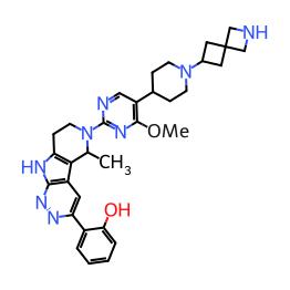 COc1nc(N2CCc3[nH]c4nnc(-c5ccccc5O)cc4c3C2C)ncc1C1CCN(C2CC3(CNC3)C2)CC1